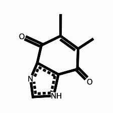 CC1=C(C)C(=O)c2[nH]cnc2C1=O